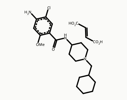 COc1cc(N)c(Cl)cc1C(=O)NC1CCN(CC2CCCCC2)CC1.O=C(O)C=CC(=O)O